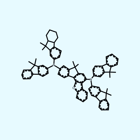 CC1(C)c2ccccc2-c2ccc(N(c3ccc4c(c3)C(C)(C)c3cc(N(c5ccc6c(c5)C(C)(C)c5ccccc5-6)c5ccc6c(c5)C(C)(C)c5ccccc5-6)c5c(oc6ccccc65)c3-4)c3ccc4c(c3)C(C)(C)C3CCCCC43)cc21